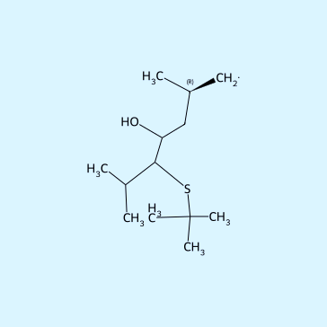 [CH2][C@H](C)CC(O)C(SC(C)(C)C)C(C)C